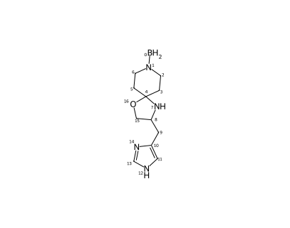 BN1CCC2(CC1)NC(Cc1c[nH]cn1)CO2